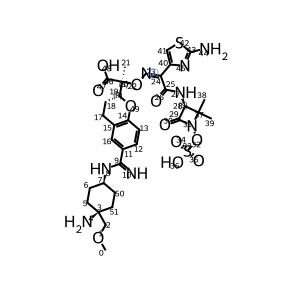 COC[C@]1(N)CC[C@@H](NC(=N)c2ccc3c(c2)CC[C@H]([C@](C)(O/N=C(\C(=O)N[C@@H]2C(=O)N(OS(=O)(=O)O)C2(C)C)c2csc(N)n2)C(=O)O)O3)CC1